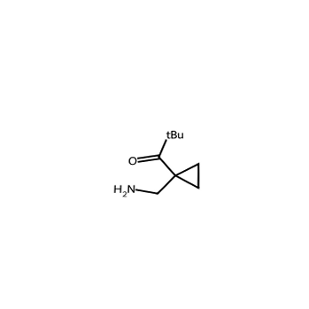 CC(C)(C)C(=O)C1(CN)CC1